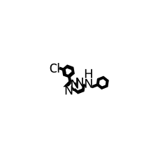 Clc1cccc(-c2cnc3ccc(NCC4CCCCC4)nn23)c1